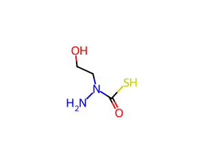 NN(CCO)C(=O)S